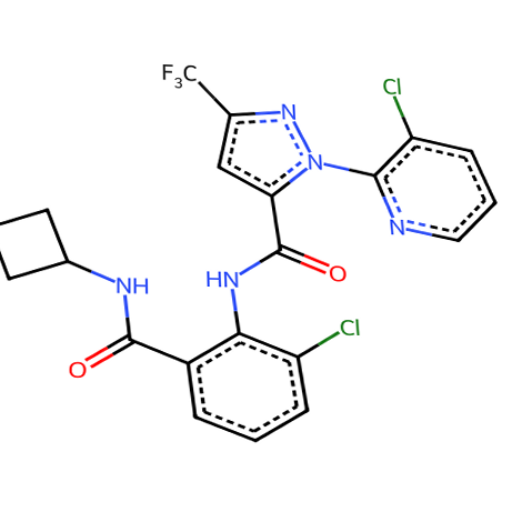 O=C(NC1CCC1)c1cccc(Cl)c1NC(=O)c1cc(C(F)(F)F)nn1-c1ncccc1Cl